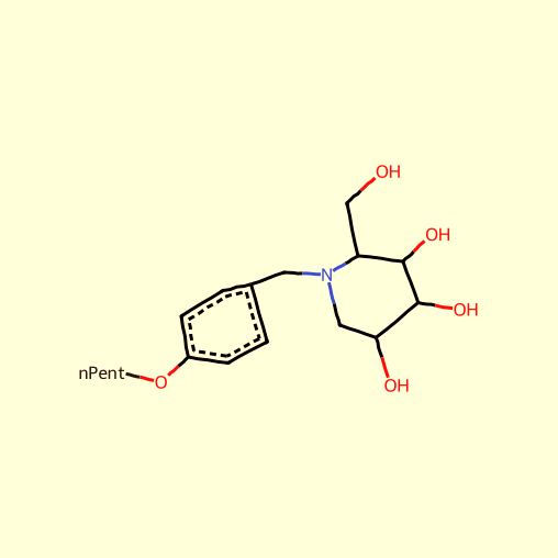 CCCCCOc1ccc(CN2CC(O)C(O)C(O)C2CO)cc1